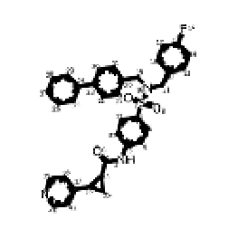 O=C(Nc1ccc(S(=O)(=O)N(Cc2ccc(F)cc2)Cc2ccc(-c3ccccc3)cc2)cc1)C1CC1c1ccncc1